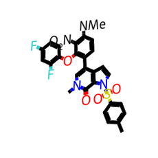 CNc1ccc(-c2cn(C)c(=O)c3c2ccn3S(=O)(=O)c2ccc(C)cc2)c(Oc2ccc(F)cc2F)c1[N+](=O)[O-]